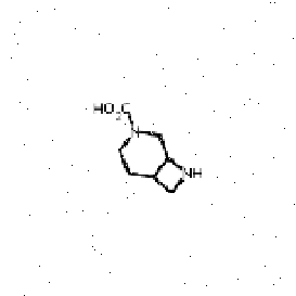 O=C(O)N1CCC2CNC2C1